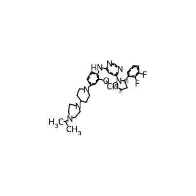 COc1cc(N2CCC(N3CCN(C(C)C)CC3)CC2)ccc1Nc1cc(N2OCC[C@@H]2c2cccc(F)c2F)ncn1